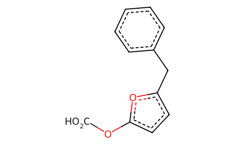 O=C(O)Oc1ccc(Cc2ccccc2)o1